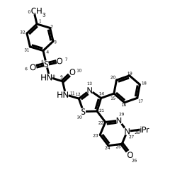 Cc1ccc(S(=O)(=O)NC(=O)Nc2nc(-c3ccccc3)c(-c3ccc(=O)n(C(C)C)n3)s2)cc1